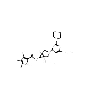 Cc1[nH]c(C(=O)N[C@H]2[C@@H]3CN(c4cc(C(=O)O)nc(N5CCOCC5)n4)C[C@@H]32)c(Cl)c1Cl.[LiH]